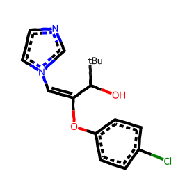 CC(C)(C)C(O)C(=Cn1ccnc1)Oc1ccc(Cl)cc1